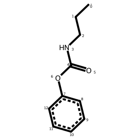 [CH2]CCNC(=O)Oc1ccccc1